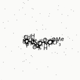 COC1(C(F)(F)F)CCC(NC(=O)C2CCN(C(=O)c3cc(-c4cc(C)ncc4F)[nH]n3)C3(CC3)C2)CC1